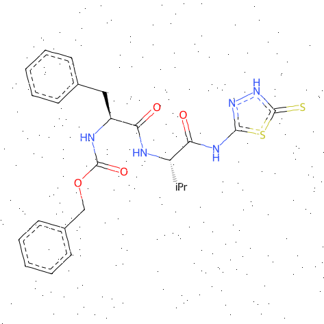 CC(C)[C@H](NC(=O)[C@H](Cc1ccccc1)NC(=O)OCc1ccccc1)C(=O)Nc1n[nH]c(=S)s1